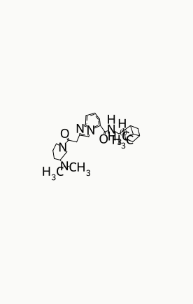 CN(C)C1CCCN(C(=O)Cc2cn3c(C(=O)NC[C@H]4CCC5CC4C5(C)C)cccc3n2)C1